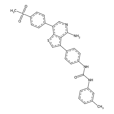 Cc1cccc(NC(=O)Nc2ccc(-c3csc4c(-c5ccc(S(C)(=O)=O)cc5)cnc(N)c34)cc2)c1